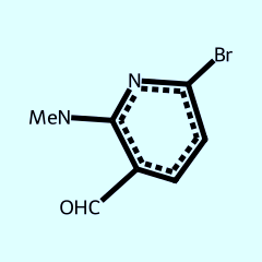 CNc1nc(Br)ccc1C=O